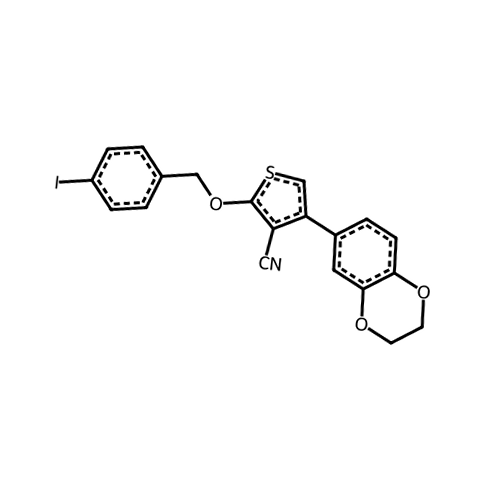 N#Cc1c(-c2ccc3c(c2)OCCO3)csc1OCc1ccc(I)cc1